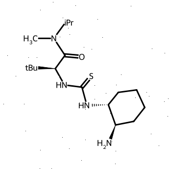 CC(C)N(C)C(=O)[C@@H](NC(=S)N[C@@H]1CCCC[C@H]1N)C(C)(C)C